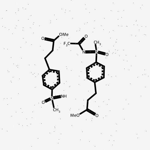 COC(=O)CCc1ccc(S(C)(=N)=O)cc1.COC(=O)CCc1ccc(S(C)(=O)=NC(=O)C(F)(F)F)cc1